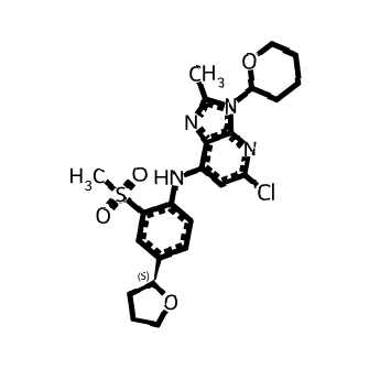 Cc1nc2c(Nc3ccc([C@@H]4CCCO4)cc3S(C)(=O)=O)cc(Cl)nc2n1C1CCCCO1